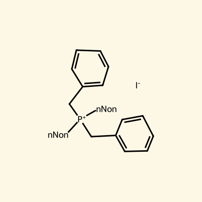 CCCCCCCCC[P+](CCCCCCCCC)(Cc1ccccc1)Cc1ccccc1.[I-]